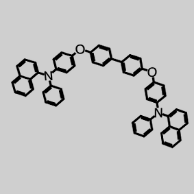 c1ccc(N(c2ccc(Oc3ccc(-c4ccc(Oc5ccc(N(c6ccccc6)c6cccc7ccccc67)cc5)cc4)cc3)cc2)c2cccc3ccccc23)cc1